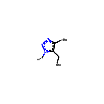 CCCCc1nnn(CCC)c1CC(C)(C)C